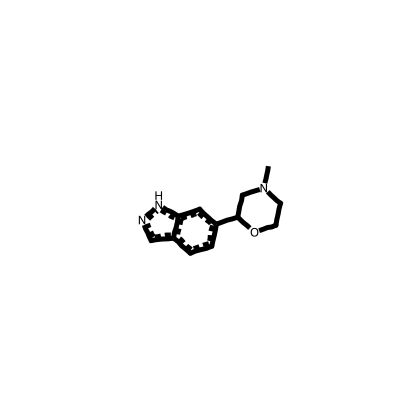 CN1CCOC(c2ccc3cn[nH]c3c2)C1